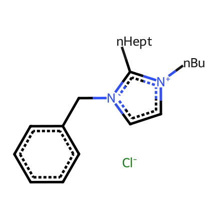 CCCCCCCc1n(Cc2ccccc2)cc[n+]1CCCC.[Cl-]